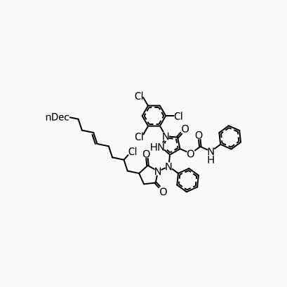 CCCCCCCCCCCCC=CCCC(Cl)CC1CC(=O)N(N(c2ccccc2)c2[nH]n(-c3c(Cl)cc(Cl)cc3Cl)c(=O)c2OC(=O)Nc2ccccc2)C1=O